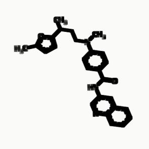 Cc1ccc(C(C)CCN(C)c2ccc(C(=O)Nc3cnc4ccccc4c3)cc2)o1